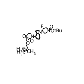 CC(C)(C)OC(=O)N1CC[C@@H](n2ccc3c(N4CCC(=O)N(COCC[Si](C)(C)C)C4=O)cccc32)[C@H](F)C1